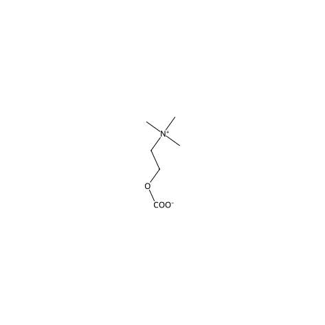 C[N+](C)(C)CCOC(=O)[O-]